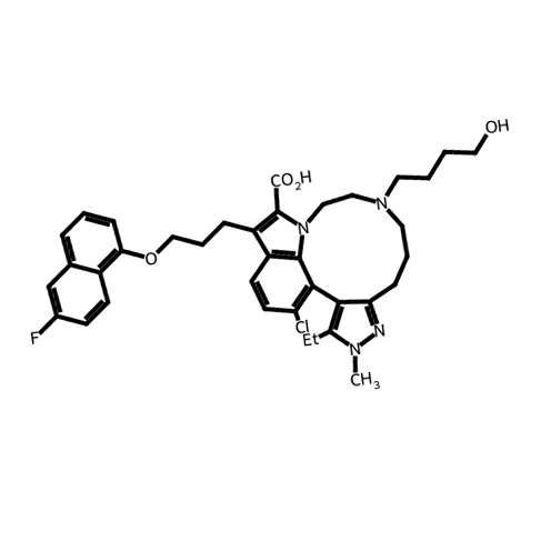 CCc1c2c(nn1C)CCCN(CCCCO)CCn1c(C(=O)O)c(CCCOc3cccc4cc(F)ccc34)c3ccc(Cl)c-2c31